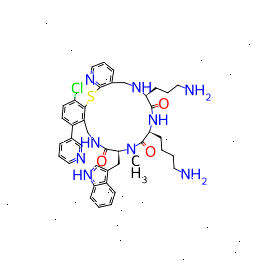 CN1C(=O)[C@H](CCCCN)NC(=O)[C@H](CCCN)NCc2cccnc2Sc2c(Cl)ccc(-c3cccnc3)c2CNC(=O)[C@@H]1Cc1c[nH]c2ccccc12